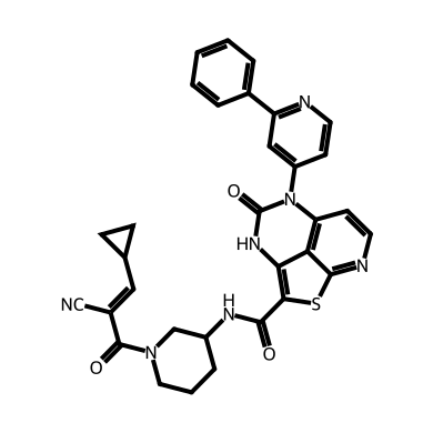 N#CC(=CC1CC1)C(=O)N1CCCC(NC(=O)c2sc3nccc4c3c2NC(=O)N4c2ccnc(-c3ccccc3)c2)C1